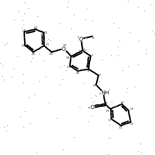 COc1cc(CCNC(=O)c2ccccc2)ccc1OCc1ccccc1